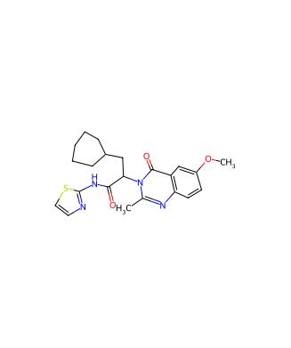 COc1ccc2nc(C)n(C(CC3CCCCC3)C(=O)Nc3nccs3)c(=O)c2c1